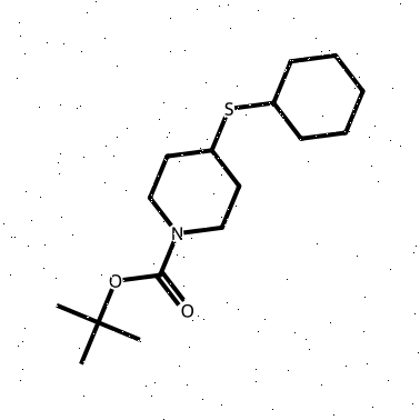 CC(C)(C)OC(=O)N1CCC(SC2CCCCC2)CC1